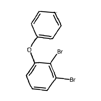 Brc1cccc(Oc2cc[c]cc2)c1Br